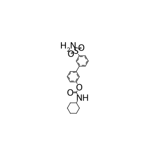 NS(=O)(=O)c1cccc(-c2cccc(OC(=O)NC3CCCCC3)c2)c1